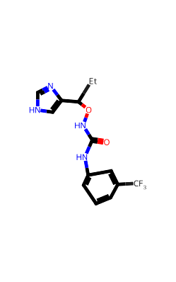 CCC(ONC(=O)Nc1cccc(C(F)(F)F)c1)c1c[nH]cn1